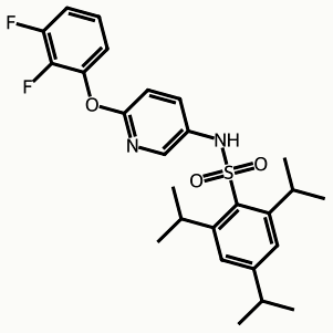 CC(C)c1cc(C(C)C)c(S(=O)(=O)Nc2ccc(Oc3cccc(F)c3F)nc2)c(C(C)C)c1